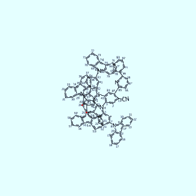 N#Cc1cc(-n2c3cc(-n4c5ccccc5c5ccccc54)ccc3c3ccc(-n4c5ccccc5c5ccccc54)cc32)c(-n2c3cc(-n4c5ccccc5c5ccccc54)ccc3c3ccc(-n4c5ccccc5c5ccccc54)cc32)cc1-c1cccc(-c2ccccc2)n1